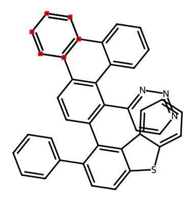 c1ccc(-c2ccccc2-c2c(-c3ccccc3)ccc(-c3c(-c4ccccc4)ccc4sc5ccccc5c34)c2-c2ccnnn2)cc1